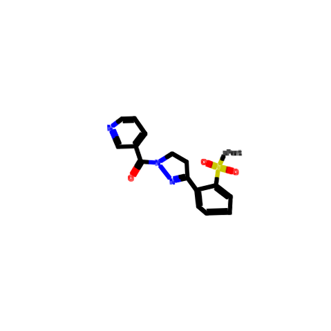 CCCCCS(=O)(=O)c1ccccc1C1=NN(C(=O)c2cccnc2)CC1